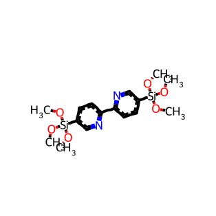 CO[Si](OC)(OC)c1ccc(-c2ccc([Si](OC)(OC)OC)cn2)nc1